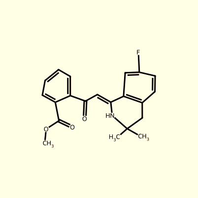 COC(=O)c1ccccc1C(=O)C=C1NC(C)(C)Cc2ccc(F)cc21